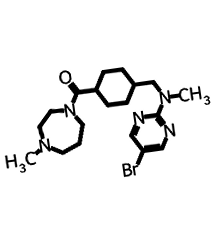 CN1CCCN(C(=O)C2CCC(CN(C)c3ncc(Br)cn3)CC2)CC1